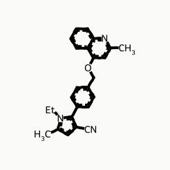 CCn1c(C)cc(C#N)c1-c1ccc(COc2cc(C)nc3ccccc23)cc1